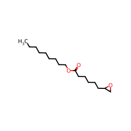 CCCCCCCCCOC(=O)CCCCCC1CO1